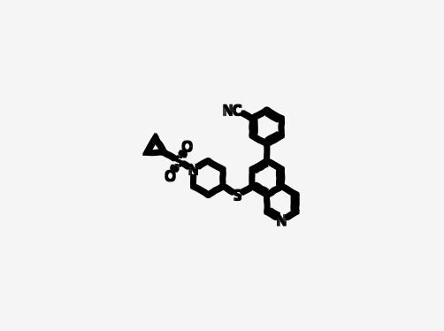 N#Cc1cccc(-c2cc(SC3CCN(S(=O)(=O)C4CC4)CC3)c3cnccc3c2)c1